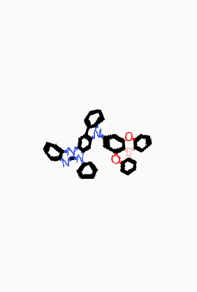 c1ccc(-n2c3cc4c(cc3n3c5ccccc5nc23)c2ccccc2n4-c2cc3c4c(c2)Oc2ccccc2B4c2ccccc2O3)cc1